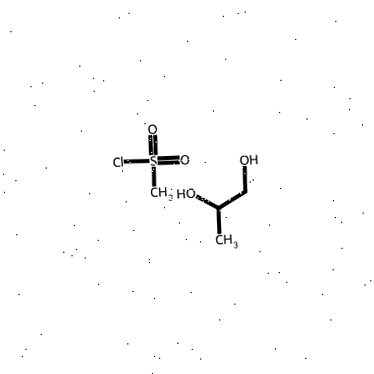 CC(O)CO.CS(=O)(=O)Cl